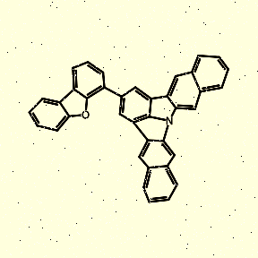 c1ccc2cc3c(cc2c1)c1cc(-c2cccc4c2oc2ccccc24)cc2c4cc5ccccc5cc4n3c12